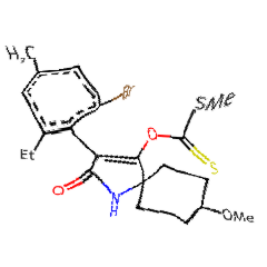 CCc1cc(C)cc(Br)c1C1=C(OC(=S)SC)C2(CCC(OC)CC2)NC1=O